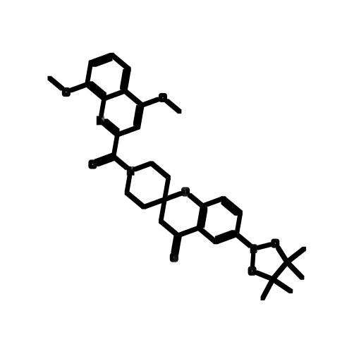 COc1cc(C(=O)N2CCC3(CC2)CC(=O)c2cc(B4OC(C)(C)C(C)(C)O4)ccc2O3)nc2c(OC)cccc12